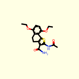 CCOc1ccc(OCC)c2c1CCc1c-2sc(NC(C)=O)c1C(N)=O